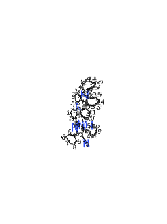 N#CC1C(c2ccccc2)N=C(c2cccc3c2c2ccccc2n3-c2cccc3c2c2ccccc2n3-c2ccccc2)NC1c1ccccc1